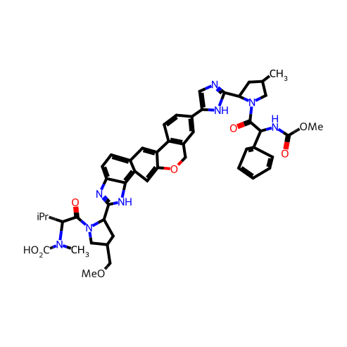 COCC1CC(c2nc3ccc4cc5c(cc4c3[nH]2)OCc2cc(-c3cnc(C4CC(C)CN4C(=O)C(NC(=O)OC)c4ccccc4)[nH]3)ccc2-5)N(C(=O)C(C(C)C)N(C)C(=O)O)C1